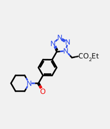 CCOC(=O)Cn1nnnc1-c1ccc(C(=O)N2CCCCC2)cc1